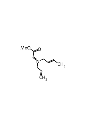 C=CC[N+](=CC(=O)OC)CC=CC